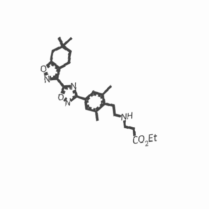 CCOC(=O)CCNCCc1c(C)cc(-c2noc(-c3noc4c3CCC(C)(C)C4)n2)cc1C